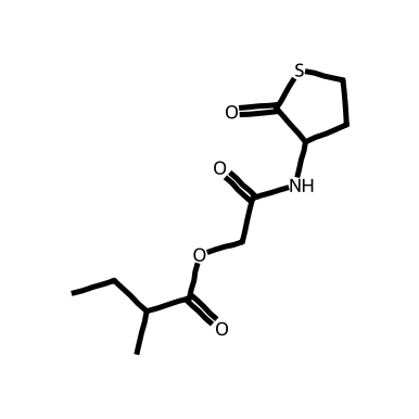 CCC(C)C(=O)OCC(=O)NC1CCSC1=O